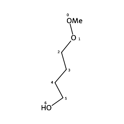 COOCCCCO